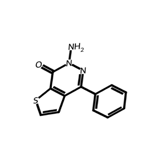 Nn1nc(-c2ccccc2)c2ccsc2c1=O